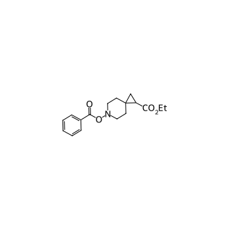 CCOC(=O)C1CC12CCN(OC(=O)c1ccccc1)CC2